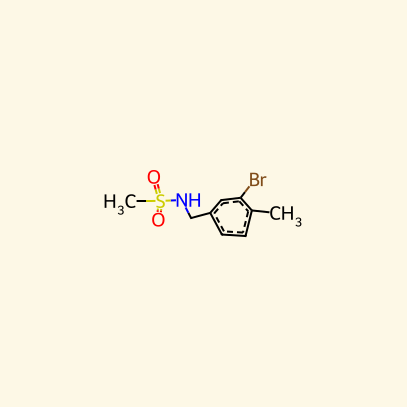 Cc1ccc(CNS(C)(=O)=O)cc1Br